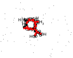 CNC(=O)C[C@@H]1NC(=O)c2csc(n2)-c2ccc(-c3nc(-n4cc(C(=O)CCC(=O)O)nc4CCCC(=O)O)cs3)nc2-c2csc(n2)-c2csc(n2)[C@H]([C@@H](O)c2ccccc2)NC(=O)CNC(=O)c2nc(sc2COC)C(C(C)C)NC(=O)c2nc1sc2C